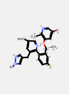 CCn1cc(Cc2cc(OC)cnc2-c2ccc(F)cc2[C@@H](C)Oc2cc(Br)cnc2[N+](=O)[O-])cn1